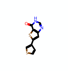 O=c1[nH]cnc2cc(-c3ccsc3)sc12